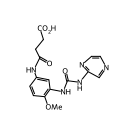 COc1ccc(NC(=O)CCC(=O)O)cc1NC(=O)Nc1cnccn1